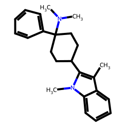 Cc1c(C2CCC(c3ccccc3)(N(C)C)CC2)n(C)c2ccccc12